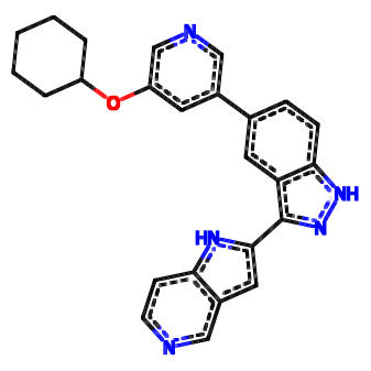 c1cc2[nH]c(-c3n[nH]c4ccc(-c5cncc(OC6CCCCC6)c5)cc34)cc2cn1